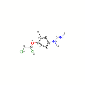 CN=CN(C)c1ccc(OC(Cl)=CCl)c(C)c1